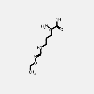 CCON=CNCCC[C@@H](N)C(=O)O